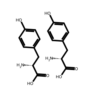 N[C@H](Cc1ccc(O)cc1)C(=O)O.N[C@H](Cc1ccc(O)cc1)C(=O)O